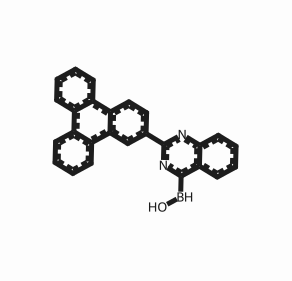 OBc1nc(-c2ccc3c4ccccc4c4ccccc4c3c2)nc2ccccc12